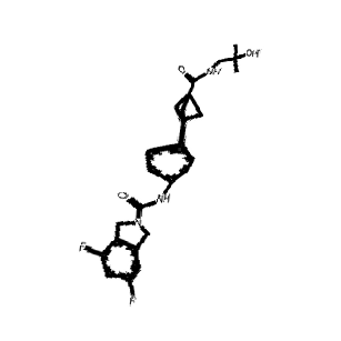 CC(C)(O)CNC(=O)C12CC(c3ccc(NC(=O)N4Cc5cc(F)cc(F)c5C4)cc3)(C1)C2